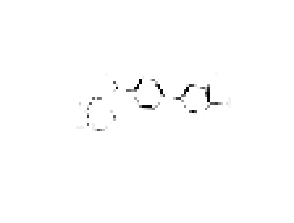 C[C@@H]1CN(C(O)c2ccc(-c3cnc(N)c(O)c3)cc2)C[C@H](C)N1